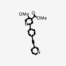 COC(=O)c1cc(-c2ccc(C#Cc3cccnc3)cc2)ncc1OC